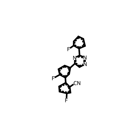 N#Cc1cc(F)ccc1-c1cc(-c2cnnc(-c3ccccc3F)n2)ccc1F